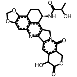 CC(O)C(=O)N[C@@H]1CCc2c3c(cc4nc5c(c1c24)Cn1c-5cc2c(c1=O)COC(=O)C2O)OCO3